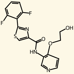 O=C(Nc1cnccc1OCCO)c1csc(-c2c(F)cccc2F)n1